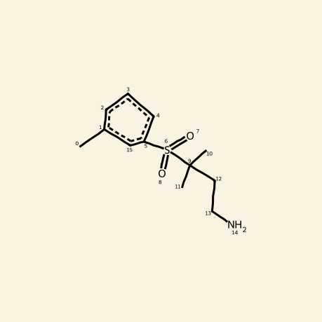 Cc1cccc(S(=O)(=O)C(C)(C)CCN)c1